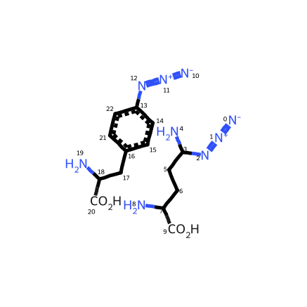 [N-]=[N+]=NC(N)CCC(N)C(=O)O.[N-]=[N+]=Nc1ccc(CC(N)C(=O)O)cc1